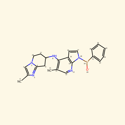 N#Cc1cn2c(n1)CC(Nc1c(C#N)cnc3c1ccn3[S+]([O-])c1ccccc1)CC2